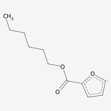 CCCCCCOC(=O)c1cc[c]o1